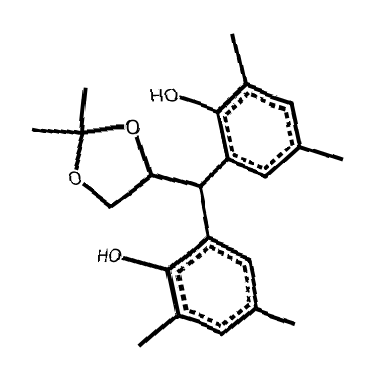 Cc1cc(C)c(O)c(C(c2cc(C)cc(C)c2O)C2COC(C)(C)O2)c1